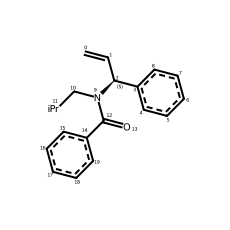 C=C[C@@H](c1ccccc1)N(CC(C)C)C(=O)c1ccccc1